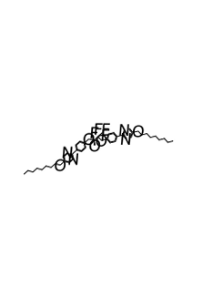 CCCCCCCCOc1cnc(-c2ccc(OC(=O)C(F)(Oc3ccc(-c4ncc(OCCCCCCCC)cn4)cc3)C(F)(F)F)cc2)nc1